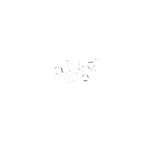 COc1cccc(OC)c1-n1c(NS(=O)(=O)[C@H](C)[C@H](OC(C)C)c2cnc(C)cn2)nnc1-c1cncc(C)c1